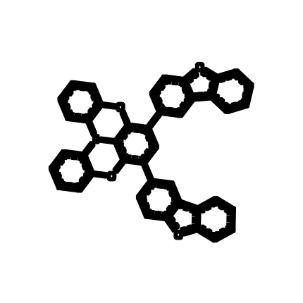 c1ccc2c(c1)Oc1c(-c3ccc4oc5ccccc5c4c3)cc(-c3ccc4oc5ccccc5c4c3)c3c1B2c1ccccc1O3